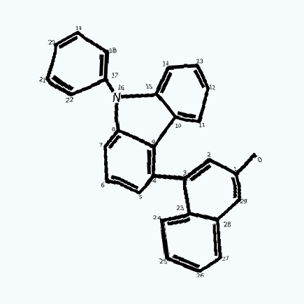 Cc1cc(-c2cccc3c2c2ccccc2n3-c2ccccc2)c2ccccc2c1